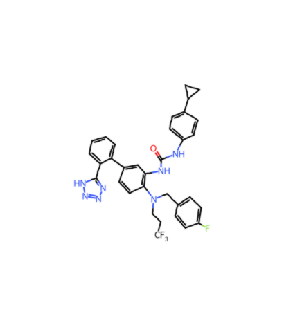 O=C(Nc1ccc(C2CC2)cc1)Nc1cc(-c2ccccc2-c2nnn[nH]2)ccc1N(CCC(F)(F)F)Cc1ccc(F)cc1